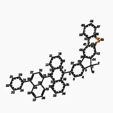 CC1(C)c2ccc(-c3c4ccccc4c(C4=CC=C(c5ccccc5)C5C=CC=CC45)c4ccccc34)cc2-c2cc3c(cc21)sc1ccccc13